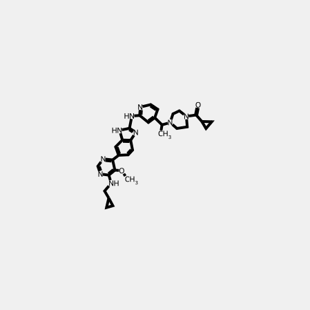 COc1c(NCC2CC2)ncnc1-c1ccc2nc(Nc3cc(C(C)N4CCN(C(=O)C5CC5)CC4)ccn3)[nH]c2c1